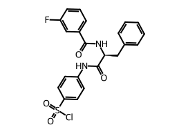 O=C(N[C@@H](Cc1ccccc1)C(=O)Nc1ccc(S(=O)(=O)Cl)cc1)c1cccc(F)c1